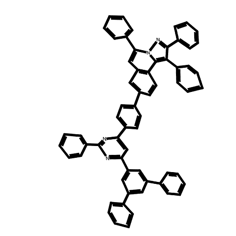 c1ccc(-c2cc(-c3ccccc3)cc(-c3cc(-c4ccc(-c5ccc6c(c5)cc(-c5ccccc5)n5nc(-c7ccccc7)c(-c7ccccc7)c65)cc4)nc(-c4ccccc4)n3)c2)cc1